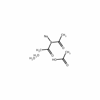 CC(=O)O.CC(=O)[B]([Na])C(C)=O.O.O